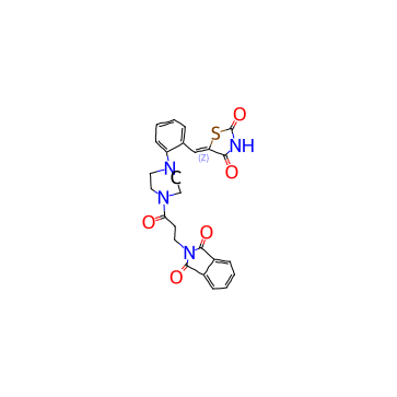 O=C1NC(=O)/C(=C/c2ccccc2N2CCN(C(=O)CCN3C(=O)c4ccccc4C3=O)CC2)S1